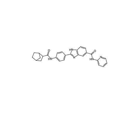 O=C(Nc1ccccn1)c1ccc2[nH]c(-c3ccc(NC(=O)C4CC5CCC4C5)cc3)nc2c1